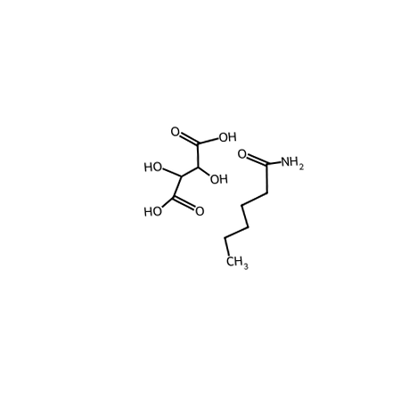 CCCCCC(N)=O.O=C(O)C(O)C(O)C(=O)O